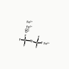 F[B-](F)(F)F.F[B-](F)(F)F.[Fe+2].[Fe+2].[Fe+2].[O-2].[O-2]